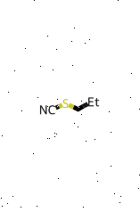 [CH2]CCSC#N